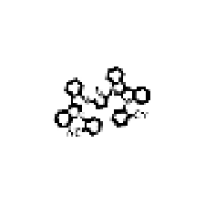 Cn1c(-n2c3ccccc3c3c4ccccc4n(-c4ccccc4C#N)c32)ccc1-n1c2ccccc2c2c3ccccc3n(-c3ccccc3C#N)c21